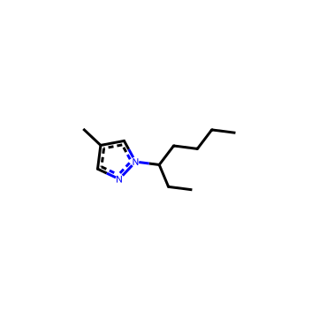 CCCCC(CC)n1cc(C)cn1